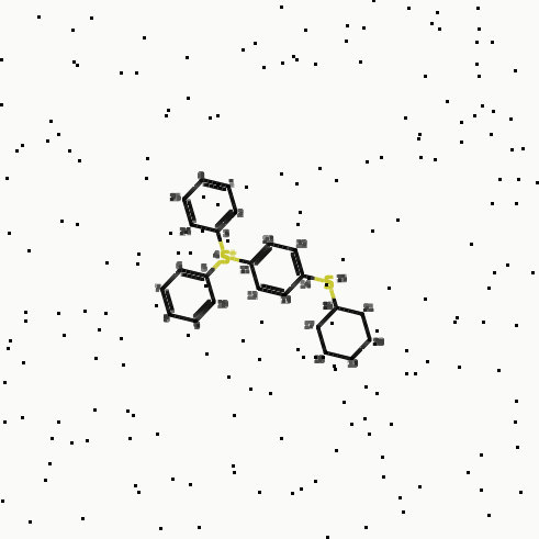 c1ccc([S+](c2ccccc2)c2ccc(SC3CCCCC3)cc2)cc1